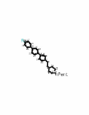 CCCCC[SiH]1CCC(CCc2ccc(-c3ccc(-c4ccc(F)cc4)cc3)cc2)CC1